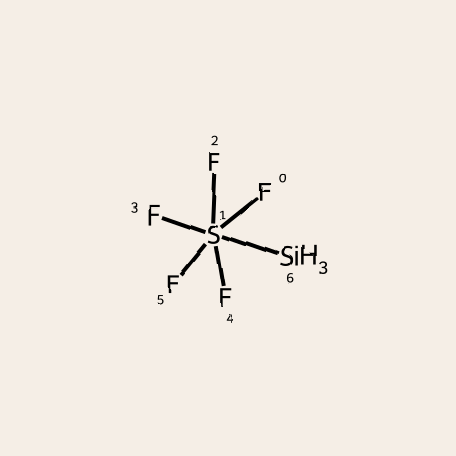 FS(F)(F)(F)(F)[SiH3]